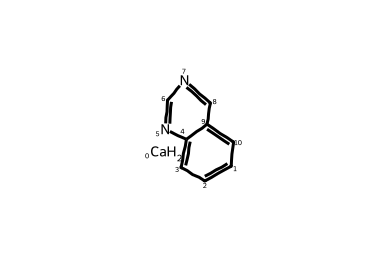 [CaH2].c1ccc2ncncc2c1